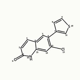 O=c1[c]cc2cc(-c3ccsc3)c(Cl)cc2[nH]1